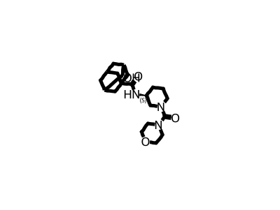 O=C(N1CCOCC1)N1CCC[C@H](NC(=O)C23CC4CC(C2)C(O)C(C4)C3)C1